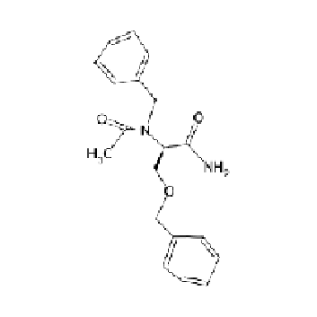 CC(=O)N(Cc1ccccc1)[C@H](COCc1ccccc1)C(N)=O